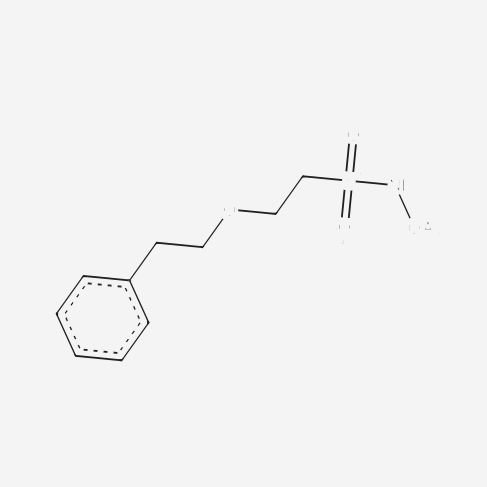 CC(=O)ONS(=O)(=O)CCOCCc1ccccc1